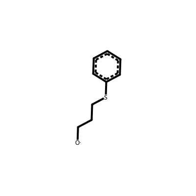 [O]CCCSc1ccccc1